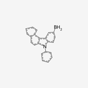 Bc1ccc2c(c1)c1c3ccccc3ccc1n2-c1ccccc1